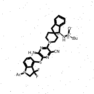 CC(=O)N1CC(F)(F)c2c(Sc3nc(C#N)c(N4CCC5(CC4)Cc4ccccc4[C@H]5N[S@+]([O-])C(C)(C)C)nc3N)cccc21